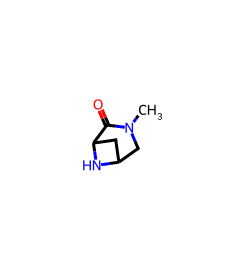 CN1CC2CC(N2)C1=O